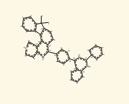 CC1(C)c2ccccc2-c2c1ccc1c(-c3ccc(-c4nc(-c5ccccc5)nc5ccccc45)cc3)nc3ccccc3c21